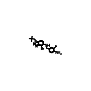 CC(C)(C)Cn1nnc2c(Br)c(NCc3ccc(N)c(F)c3)ccc21